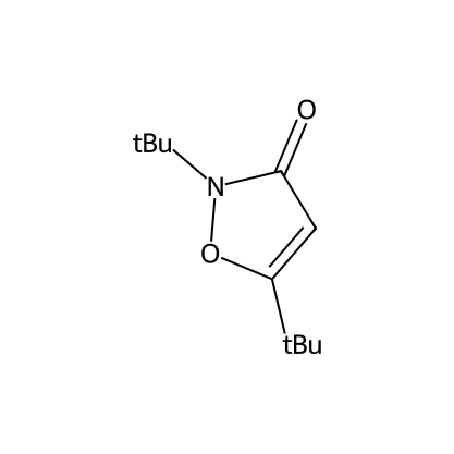 CC(C)(C)c1cc(=O)n(C(C)(C)C)o1